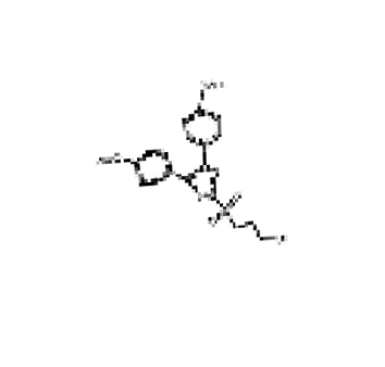 COc1ccc(-c2nc(S(=O)(=O)CCCO)sc2-c2ccc(OC)cc2)cc1